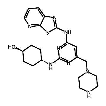 O[C@H]1CC[C@H](Nc2nc(CN3CCNCC3)cc(Nc3nc4cccnc4s3)n2)CC1